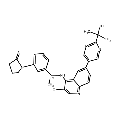 C[C@@H](Nc1c(Cl)cnc2ccc(-c3cnc(C(C)(C)O)nc3)cc12)c1cccc(N2CCCC2=O)c1